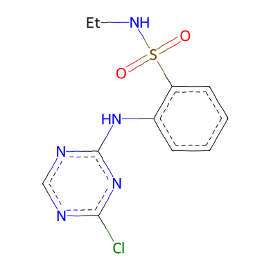 CCNS(=O)(=O)c1ccccc1Nc1ncnc(Cl)n1